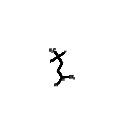 CC(C)[C@H](C)CCC(C)(F)F